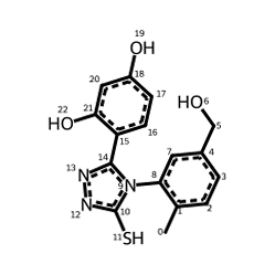 Cc1ccc(CO)cc1-n1c(S)nnc1-c1ccc(O)cc1O